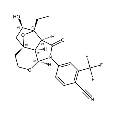 CC[C@]12O[C@@]3(CCO[C@H]4[C@@H]3[C@@H]1C(=O)N4c1ccc(C#N)c(C(F)(F)F)c1)C[C@H]2O